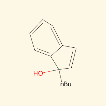 CCCCC1(O)C=Cc2ccccc21